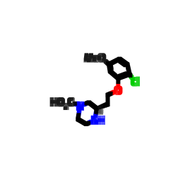 COc1ccc(Cl)c(OCC[C@@H]2CN(C(=O)O)CCN2)c1